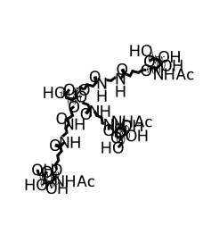 CC(=O)N[C@H]1[C@H](OCCCCC(=O)NCCCNC(=O)CCOC[C@H]2O[C@@H](O)C[C@@H](OCCC(=O)NCCCNC(=O)CCCCO[C@@H]3O[C@H](CO)[C@H](O)[C@H](O)[C@H]3NC(C)=O)[C@@H]2OCCC(=O)NCCCNO[C@@H]2O[C@H](CO)[C@H](O)[C@H](O)[C@H]2NC(C)=O)O[C@H](CO)[C@H](O)[C@@H]1O